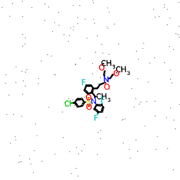 COCCN(CCOC)C(=O)CCc1cc(F)ccc1[C@@H](C)N(c1cc(F)ccc1F)S(=O)(=O)c1ccc(Cl)cc1